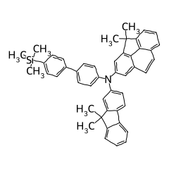 CC1(C)c2ccccc2-c2ccc(N(c3ccc(-c4ccc([Si](C)(C)C)cc4)cc3)c3cc4c5c(ccc6cccc(c65)C4(C)C)c3)cc21